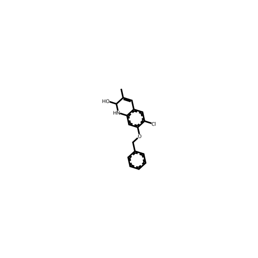 CC1=Cc2cc(Cl)c(OCc3ccccc3)cc2NC1O